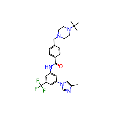 Cc1cn(-c2cc(NC(=O)c3ccc(CN4CCN(C(C)(C)C)CC4)cc3)cc(C(F)(F)F)c2)cn1